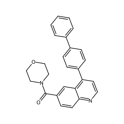 O=C(c1ccc2nccc(-c3ccc(-c4ccccc4)cc3)c2c1)N1CCOCC1